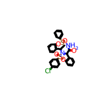 NC(=O)C(c1ccccc1)N(C(CS(=O)(=O)c1ccccc1)c1ccccc1)S(=O)(=O)c1ccc(Cl)cc1